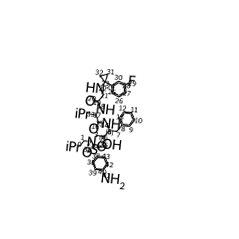 CC(C)CN(C[C@@H](O)[C@H](Cc1ccccc1)NC(=O)C(NC(=O)CNC1(c2cccc(F)c2)CC1)C(C)C)S(=O)(=O)c1ccc(N)cc1